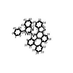 c1ccc(-c2nc(N3c4cccc5c4C4c6c(cccc6C6Sc7ccccc7C6C43)-c3ccccc3-5)nc3ccccc23)cc1